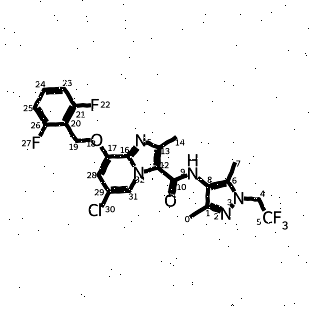 Cc1nn(CC(F)(F)F)c(C)c1NC(=O)c1c(C)nc2c(OCc3c(F)cccc3F)cc(Cl)cn12